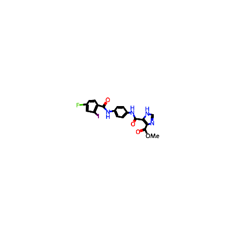 COC(=O)c1nc[nH]c1C(=O)Nc1ccc(NC(=O)c2ccc(F)cc2I)cc1